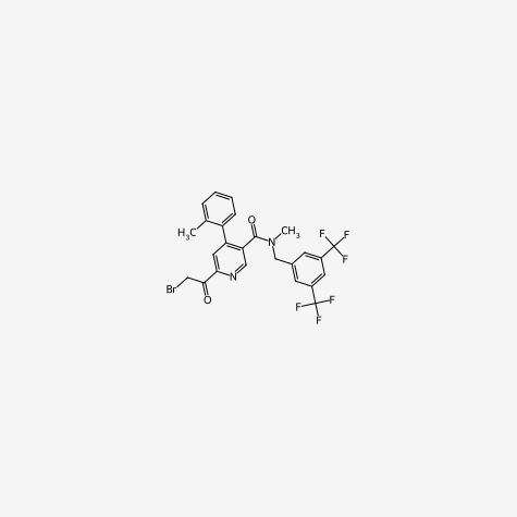 Cc1ccccc1-c1cc(C(=O)CBr)ncc1C(=O)N(C)Cc1cc(C(F)(F)F)cc(C(F)(F)F)c1